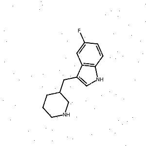 Fc1ccc2[nH]cc(CC3CCCNC3)c2c1